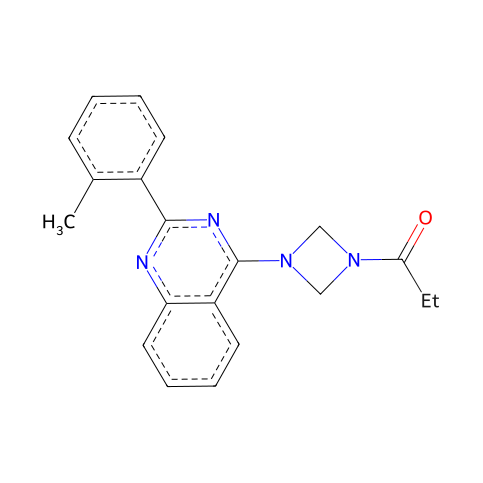 CCC(=O)N1CN(c2nc(-c3ccccc3C)nc3ccccc23)C1